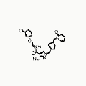 N#Cc1nn(Cc2ccc(Cn3ccccc3=O)cc2)cc1C(=O)NCCOc1cccc(Cl)c1